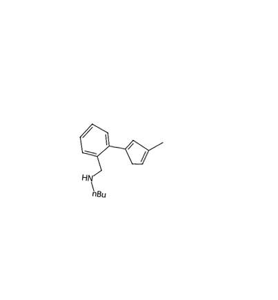 CCCCNCc1ccccc1C1=CC(C)=CC1